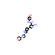 Nc1ncc(-c2ccc3nn([C@H]4CCN(C5CCOCC5)C4)cc3c2)cc1C(=O)NC12CCC(O)(CC1)CC2